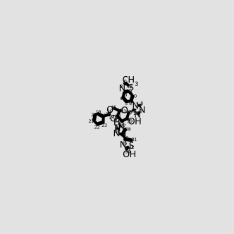 Cc1nc2ccc(-n3cnnc3[C@@H]3OC4COC(c5ccccc5)O[C@@H]4C(n4cc(-c5csc(O)n5)nn4)C3O)cc2s1